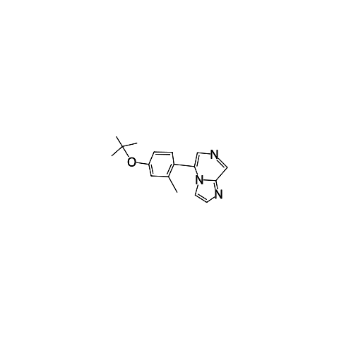 Cc1cc(OC(C)(C)C)ccc1-c1cncc2nccn12